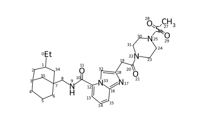 CCC1CC2CCCC(CNC(=O)c3cccc4nc(CC(=O)N5CCN(S(C)(=O)=O)CC5)cn34)(C1)C2